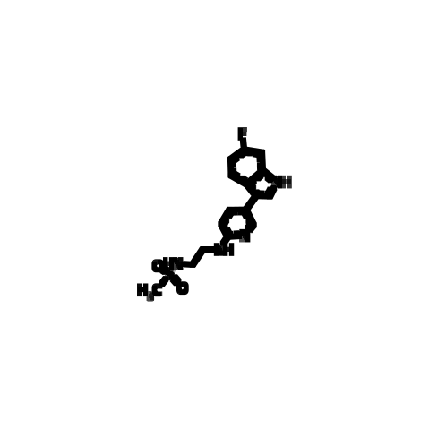 CS(=O)(=O)NCCNc1ccc(-c2c[nH]c3cc(F)ccc23)cn1